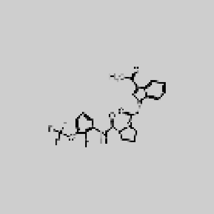 CC(=O)c1cn(CC(=O)N2CCC[C@H]2C(=O)Nc2cccc(OC(F)(F)F)c2F)c2ccccc12